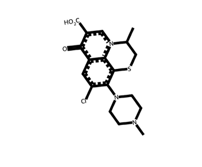 CC1CSc2c(N3CCN(C)CC3)c(Cl)cc3c(=O)c(C(=O)O)cn1c23